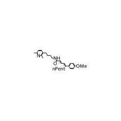 CCCCC/C(=C\C=C\C(=O)NCCCCc1ccc(C)nc1C)c1ccc(OC)cc1